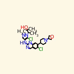 CC(n1ncc(Nc2ncc3cc(Cl)c(C4CCN(C5COC5)CC4)cc3n2)c1Cl)C(C)(C)O